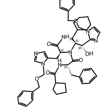 NC(=O)[C@H](Cc1cncn1COCc1ccccc1)N(C(=O)[C@H](Cc1ccccc1)NC(=O)C1CCCC1)[C@@H](CC1CCCCC1)[C@@H](O)c1nccn1COCc1ccccc1